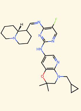 CC1(C)CN(CC2CC2)c2ncc(Nc3ncc(F)c(/N=C\C4CCCN5CCCC[C@H]45)n3)cc2O1